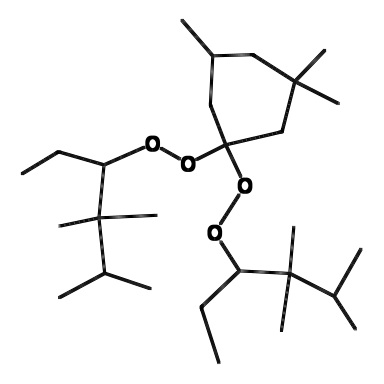 CCC(OOC1(OOC(CC)C(C)(C)C(C)C)CC(C)CC(C)(C)C1)C(C)(C)C(C)C